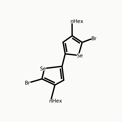 CCCCCCc1cc(-c2cc(CCCCCC)c(Br)[se]2)[se]c1Br